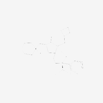 CN(C)[C@]1(c2ccccc2)CC[C@]2(CC1)CN(CC1(O)CCOCC1)C(O)N2CC1CCC1